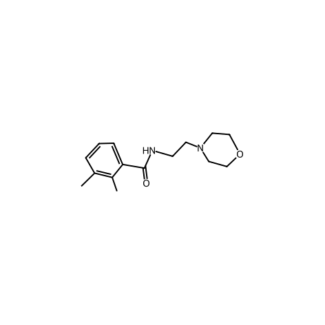 Cc1cccc(C(=O)NCCN2CCOCC2)c1C